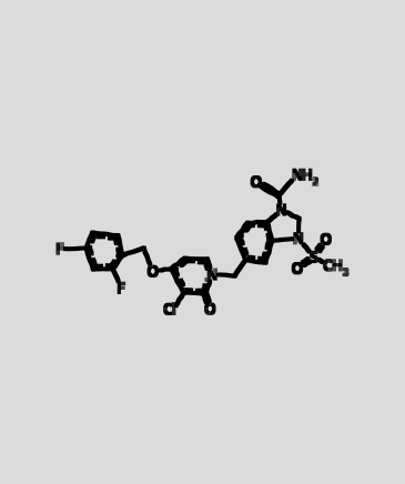 CS(=O)(=O)N1CN(C(N)=O)c2ccc(Cn3ccc(OCc4ccc(F)cc4F)c(Cl)c3=O)cc21